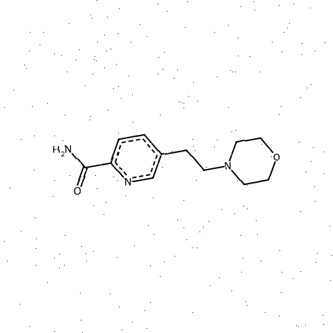 NC(=O)c1ccc(CCN2CCOCC2)cn1